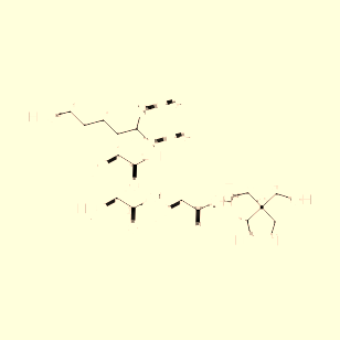 C=CC(=O)O.C=CC(=O)O.C=CC(=O)O.CCCCCC(N=C=O)N=C=O.OCC(CO)(CO)CO